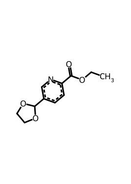 CCOC(=O)c1ccc(C2OCCO2)cn1